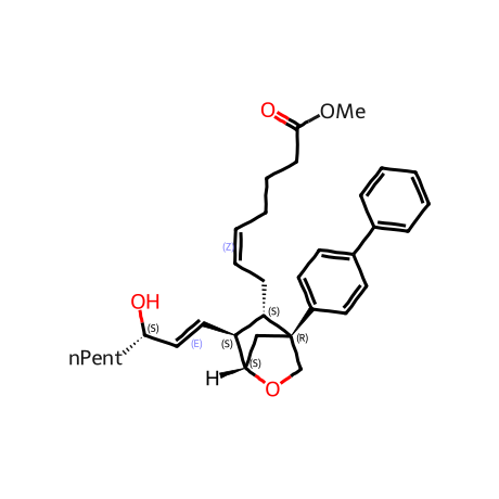 CCCCC[C@H](O)/C=C/[C@@H]1[C@@H]2C[C@@](c3ccc(-c4ccccc4)cc3)(CO2)[C@H]1C/C=C\CCCC(=O)OC